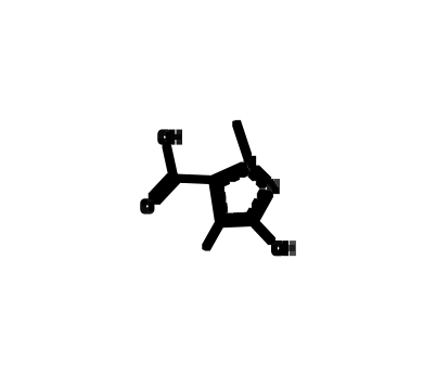 Cc1c(O)nn(C)c1C(=O)O